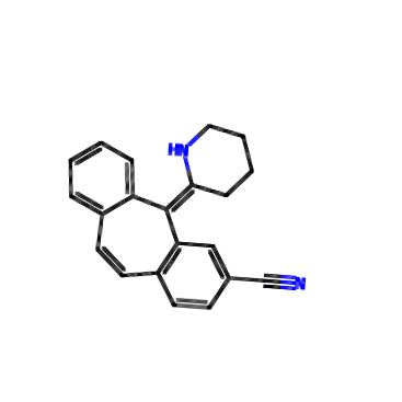 N#Cc1ccc2c(c1)C(=C1CCCCN1)c1ccccc1C=C2